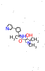 C=C1C(O)=C(C(=O)N[C@H](C)c2cccc(-c3cccnc3)c2)CN1C